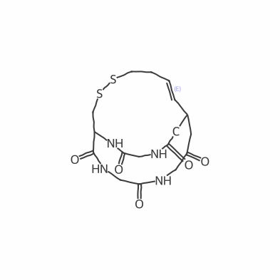 O=C1CNC(=O)CNC(=O)C2CSSCC/C=C/C(C1)CC(=O)NCC(=O)N2